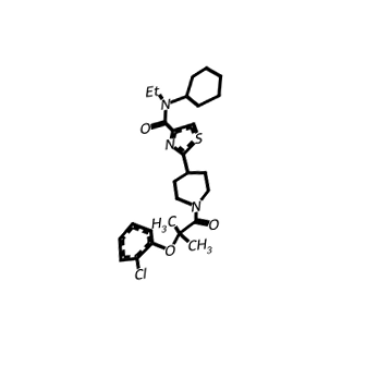 CCN(C(=O)c1csc(C2CCN(C(=O)C(C)(C)Oc3ccccc3Cl)CC2)n1)C1CCCCC1